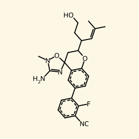 [C-]#[N+]c1cccc(-c2ccc3c(c2)C2(CC(C(C=C(C)C)CCO)O3)N=C(N)N(C)O2)c1F